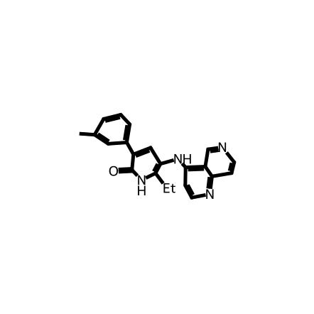 CCc1[nH]c(=O)c(-c2cccc(C)c2)cc1Nc1ccnc2ccncc12